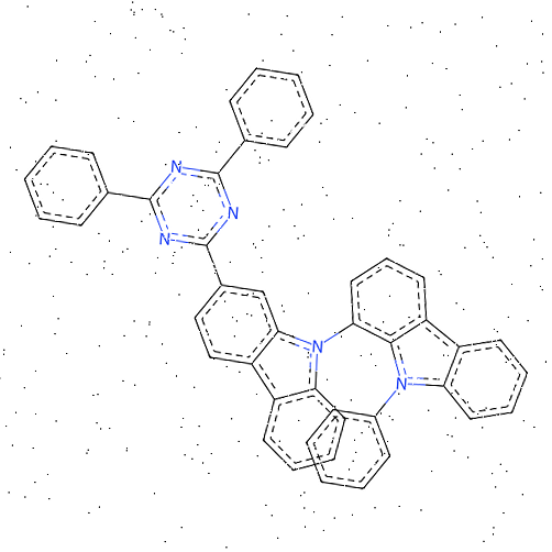 c1ccc(-c2nc(-c3ccccc3)nc(-c3ccc4c5ccccc5n(-c5cccc6c7ccccc7n(-c7ccccc7)c56)c4c3)n2)cc1